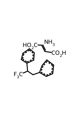 FC(F)(F)C(Cc1ccccc1)c1ccccc1.N.O=C(O)C=CC(=O)O